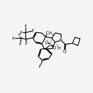 CC12CC=C(C(F)(C(F)(F)F)C(F)(F)F)C=C1CC[C@@H]1N(C(=O)C3CCC3)CC[C@@]12S(=O)(=O)c1ccc(F)cc1